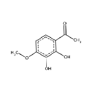 COc1ccc(C(C)=O)c(O)c1O